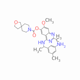 COc1cc2nc(C)nc(NC(C)c3cc(C)cc(N)c3)c2cc1OC(=O)N1CCC2(CCOC2)CC1